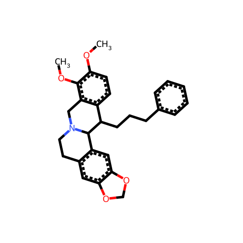 COc1ccc2c(c1OC)CN1CCc3cc4c(cc3C1C2CCCc1ccccc1)OCO4